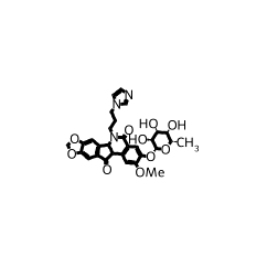 COc1cc2c(cc1O[C@@H]1O[C@@H](C)[C@@H](O)[C@@H](O)[C@@H]1O)C(=O)N(CCCn1ccnc1)C1c3cc4c(cc3C(=O)C21)OCO4